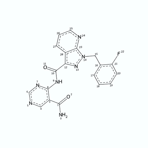 NC(=O)c1cncnc1NC(=O)c1nn(Cc2ccccc2F)c2ncccc12